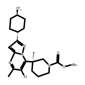 CCc1c(C)nc2cc([C@H]3CC[C@H](C(F)(F)F)CC3)nn2c1[C@]1(C)CCCN(C(=O)OC(C)(C)C)C1